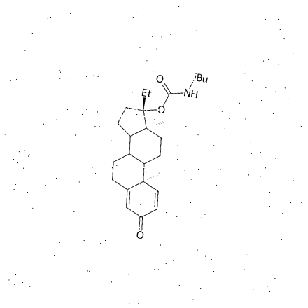 CCC(C)NC(=O)O[C@@]1(CC)CCC2C3CCC4=CC(=O)C=C[C@]4(C)C3CC[C@@]21C